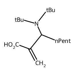 C=C(C(=O)O)C(CCCCC)N(C(C)(C)C)C(C)(C)C